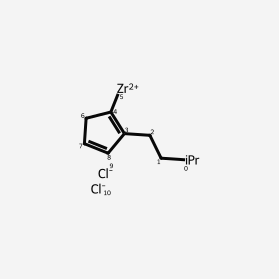 CC(C)CCC1=[C]([Zr+2])CC=C1.[Cl-].[Cl-]